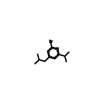 CC(C)Cc1cc(Br)nc(C(C)C)c1